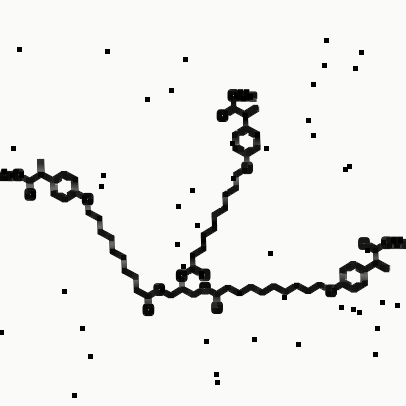 C=C(C(=O)OC)c1ccc(OCCCCCCCCCC(=O)OCC(COC(=O)CCCCCCCCCOc2ccc(C(=C)C(=O)OC)cc2)OC(=O)CCCCCCCCCOc2ccc(C(=C)C(=O)OC)cc2)cc1